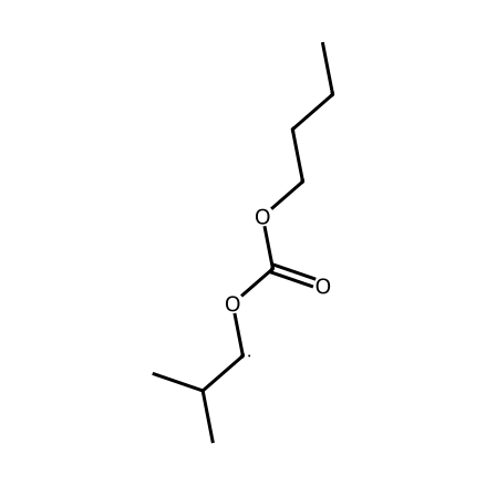 CCCCOC(=O)O[CH]C(C)C